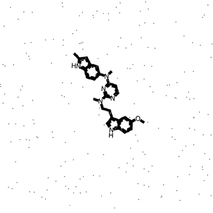 COc1ccc2[nH]cc(CCN(C)c3nccc(N(C)c4ccc5[nH]c(C)cc5c4)n3)c2c1